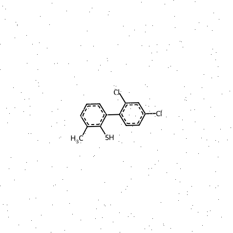 Cc1cccc(-c2ccc(Cl)cc2Cl)c1S